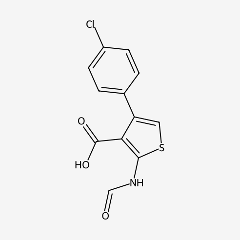 O=CNc1scc(-c2ccc(Cl)cc2)c1C(=O)O